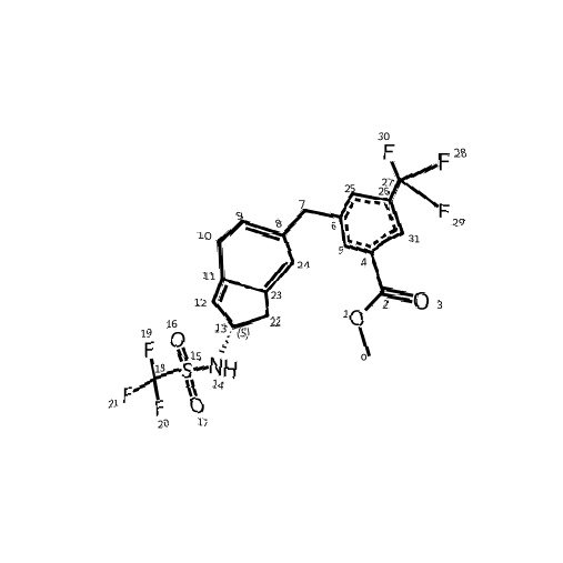 COC(=O)c1cc(CC2=CCC3=C[C@@H](NS(=O)(=O)C(F)(F)F)CC3=C2)cc(C(F)(F)F)c1